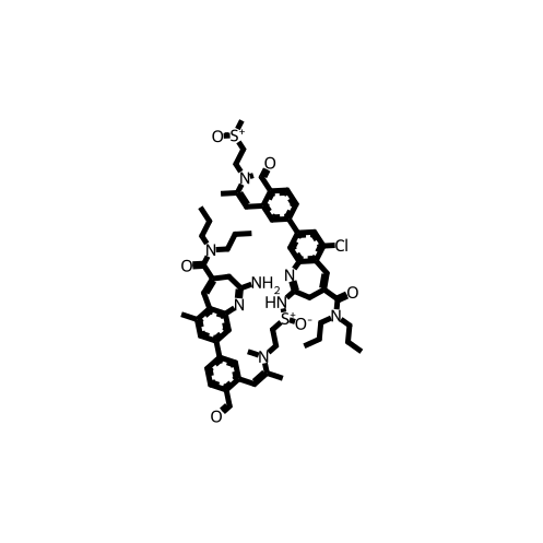 CCCN(CCC)C(=O)C1=Cc2c(C)cc(-c3ccc(C=O)c(/C=C(/C)N(C)CC[S+]([O-])NC4=Nc5cc(-c6ccc(C=O)c(/C=C(/C)N(C)CC[S+](C)[O-])c6)cc(Cl)c5C=C(C(=O)N(CCC)CCC)C4)c3)cc2N=C(N)C1